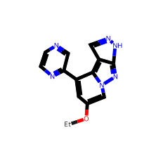 CCOc1cc(-c2cnccn2)c2c3cn[nH]c3nn2c1